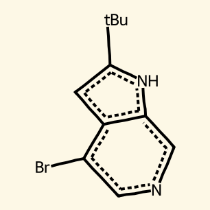 CC(C)(C)c1cc2c(Br)cncc2[nH]1